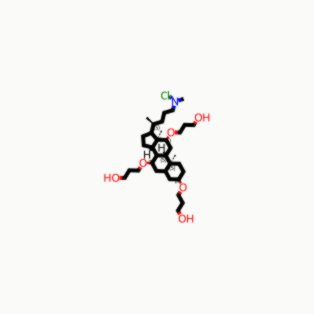 C[C@@H](CCCN(C)Cl)C1CC[C@H]2C3[C@H](OCCCO)CC4C[C@H](OCCCO)CC[C@]4(C)[C@H]3C[C@H](OCCCO)[C@]12C